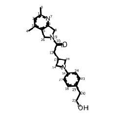 Cc1cc(C)c2c(n1)CN(C(=O)CC1CN(c3ccc(CCO)cc3)C1)C2